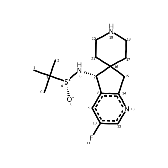 CC(C)(C)[S@@+]([O-])N[C@H]1c2cc(F)cnc2CC12CCNCC2